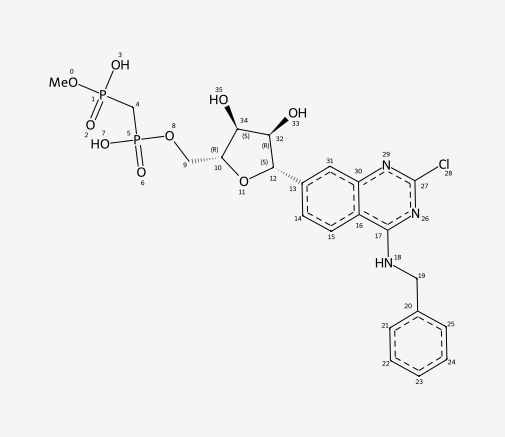 COP(=O)(O)CP(=O)(O)OC[C@H]1O[C@@H](c2ccc3c(NCc4ccccc4)nc(Cl)nc3c2)[C@H](O)[C@@H]1O